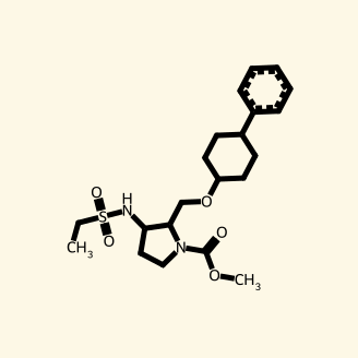 CCS(=O)(=O)NC1CCN(C(=O)OC)C1COC1CCC(c2ccccc2)CC1